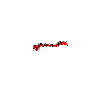 CCc1cnn2c(NCc3ccc(OCCOCCOCCOCCOCCOCCOCCOC4CCN(c5ccc(C(=O)NC6CCC(Oc7ccc(C#N)c(Cl)c7)CC6)nn5)CC4)nc3)cc(N3CCCC[C@H]3CCO)nc12